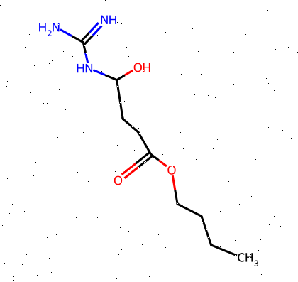 CCCCOC(=O)CCC(O)NC(=N)N